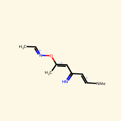 C/C=N/O/C(C)=C/C(=N)/C=C/NC